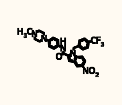 CN1CCN(c2ccc(NC(=O)c3cc4cc([N+](=O)[O-])ccc4n3Cc3ccc(C(F)(F)F)cc3)cc2)CC1